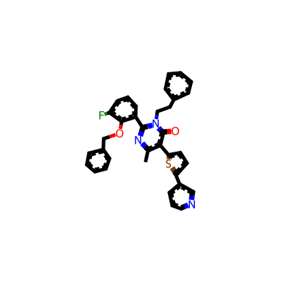 Cc1nc(-c2cccc(F)c2OCc2ccccc2)n(CCc2ccccc2)c(=O)c1-c1ccc(-c2cccnc2)s1